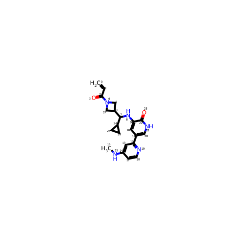 C=CC(=O)N1CC(C(Nc2cc(-c3cc(NC)ccn3)c[nH]c2=O)C2CC2)C1